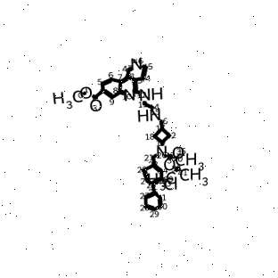 COC(=O)c1ccc2c(c1)nc(NCCNCC1CC(N(Cc3ccc(-c4ccccc4)c(Cl)c3)C(=O)OC(C)(C)C)C1)c1ccncc12